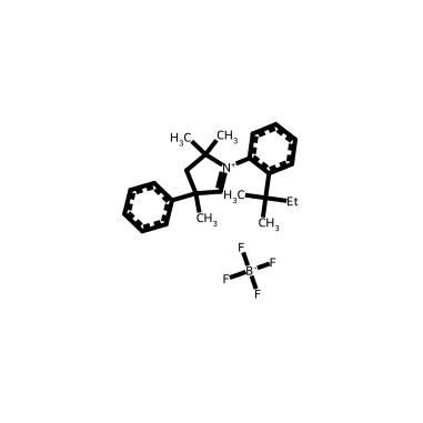 CCC(C)(C)c1ccccc1[N+]1=CC(C)(c2ccccc2)CC1(C)C.F[B-](F)(F)F